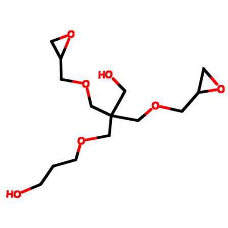 OCCCOCC(CO)(COCC1CO1)COCC1CO1